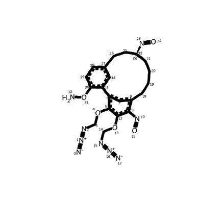 [N-]=[N+]=NCOc1c2cc(c(N=O)c1OCN=[N+]=[N-])CCCC[C@H](N=O)CCc1ccc(ON)c-2c1